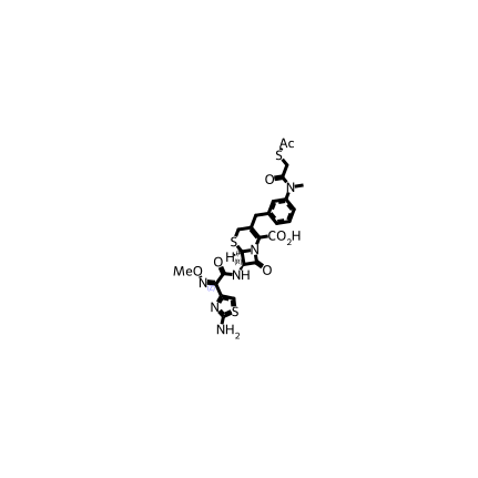 CO/N=C(\C(=O)N[C@@H]1C(=O)N2C(C(=O)O)=C(Cc3cccc(N(C)C(=O)CSC(C)=O)c3)CS[C@H]12)c1csc(N)n1